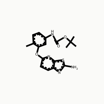 Cc1ccc(NC(=O)OC(C)(C)C)cc1Oc1ccc2nc(N)sc2n1